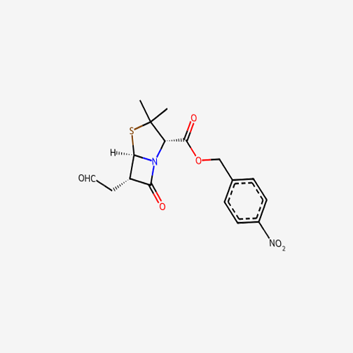 CC1(C)S[C@@H]2[C@@H](CC=O)C(=O)N2[C@H]1C(=O)OCc1ccc([N+](=O)[O-])cc1